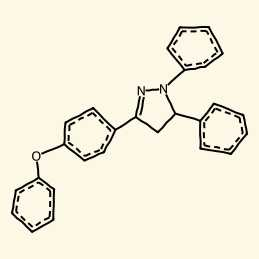 c1ccc(Oc2ccc(C3=NN(c4ccccc4)C(c4ccccc4)C3)cc2)cc1